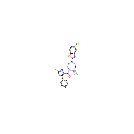 Cc1nc(C(=O)N2CCN(c3nc4cc(Cl)ccc4o3)CC[C@H]2C(F)(F)F)c(-c2ccc(F)cc2)s1